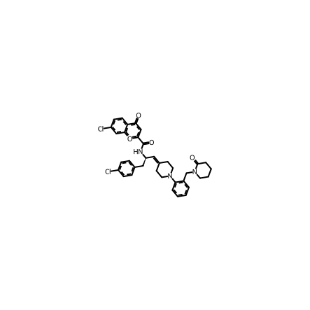 O=C(N[C@@H](C=C1CCN(c2ccccc2CN2CCCCC2=O)CC1)Cc1ccc(Cl)cc1)c1cc(=O)c2ccc(Cl)cc2o1